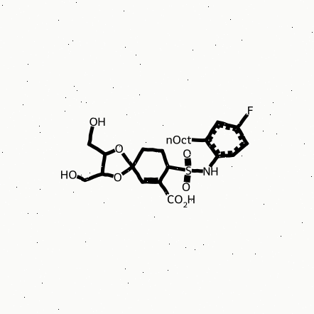 CCCCCCCCc1cc(F)ccc1NS(=O)(=O)C1CCC2(C=C1C(=O)O)OC(CO)C(CO)O2